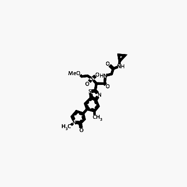 COCCS(=O)(=O)C(C(=O)NCC(=O)NC1CC1)c1nc2cc(C)c(-c3ccn(C)c(=O)c3)cc2s1